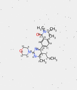 CCCc1c(C)nc(N2CCOCC2)nc1-c1cccc(C(=O)N(C)C(C)C)c1